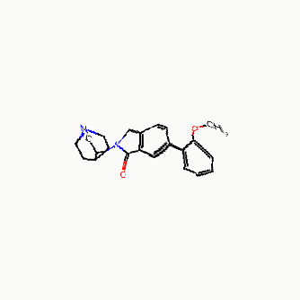 COc1ccccc1-c1ccc2c(c1)C(=O)N(C1CN3CCC1CC3)C2